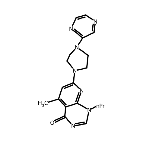 CCCn1cnc(=O)c2c(C)cc(N3CCN(c4cnccn4)CC3)nc21